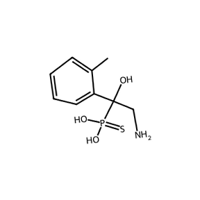 Cc1ccccc1C(O)(CN)P(O)(O)=S